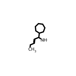 CCC=CC([NH])C1CCCCCC1